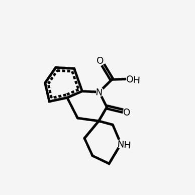 O=C(O)N1C(=O)C2(CCCNC2)Cc2ccccc21